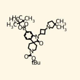 CC1(C)CCN(C2CC(N3C(=O)C4(CCN(C(=O)OC(C)(C)C)CC4)c4ccc(B5OC(C)(C)C(C)(C)O5)cc43)C2)C1